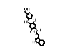 Cc1cc(Nc2ccnc(CO)c2)c(Cl)cc1NCCc1c[nH]c2ccccc12